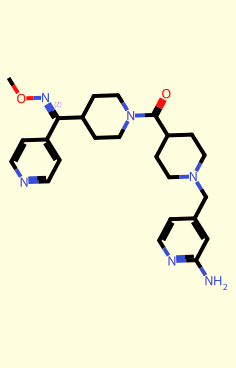 CO/N=C(\c1ccncc1)C1CCN(C(=O)C2CCN(Cc3ccnc(N)c3)CC2)CC1